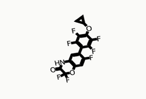 O=C1Nc2cc(-c3c(F)c(F)c(OC4CC4)c(F)c3F)c(F)cc2OC1(F)F